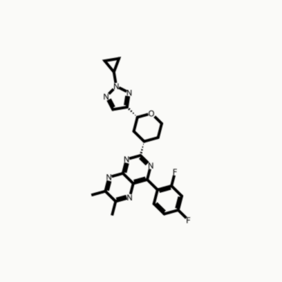 Cc1nc2nc([C@H]3CCO[C@@H](c4cnn(C5CC5)n4)C3)nc(-c3ccc(F)cc3F)c2nc1C